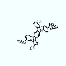 CC(C)(C)c1ccc2c(c1)c1c(Cl)ccc3c4cc5c(cc4n2c31)c1ccc(Cl)c2c3cc(C(C)(C)C)ccc3n5c12